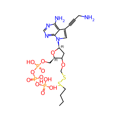 CCCCSSCOC1C[C@H](n2cc(C#CCN)c3c(N)ncnc32)O[C@@H]1COP(=O)(O)OP(=O)(O)OP(=O)(O)O